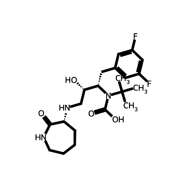 CC(C)(C)N(C(=O)O)[C@@H](Cc1cc(F)cc(F)c1)[C@@H](O)CN[C@@H]1CCCCNC1=O